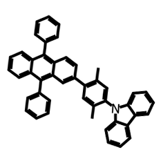 Cc1cc(-n2c3ccccc3c3ccccc32)c(C)cc1-c1ccc2c(-c3ccccc3)c3ccccc3c(-c3ccccc3)c2c1